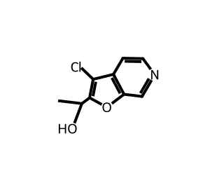 CC(O)c1oc2cnccc2c1Cl